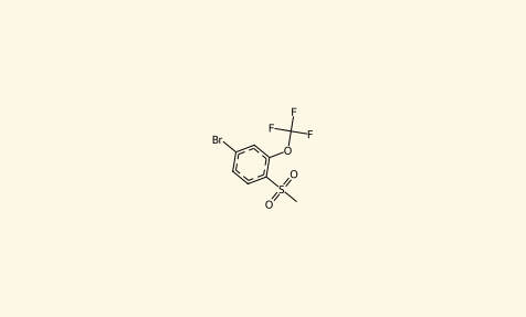 CS(=O)(=O)c1ccc(Br)cc1OC(F)(F)F